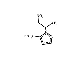 CCOC(=O)c1ccnn1C(C[N+](=O)[O-])C(F)(F)F